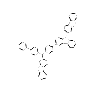 c1ccc(-c2ccc(C(c3ccc(-c4ccc5c(c4)c4ccccc4n5-c4ccc5c(c4)oc4ccccc45)cc3)c3ccc4c(c3)sc3ccccc34)cc2)cc1